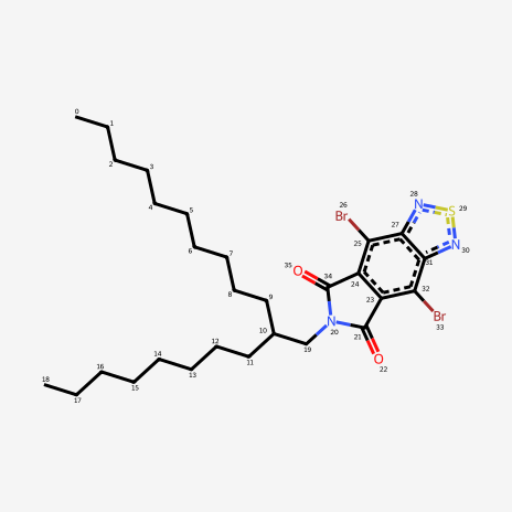 CCCCCCCCCCC(CCCCCCCC)CN1C(=O)c2c(c(Br)c3nsnc3c2Br)C1=O